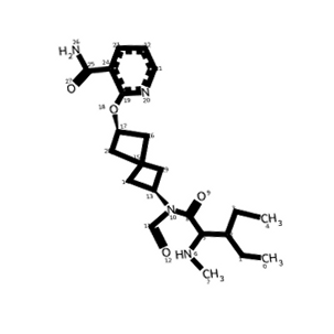 CCC(CC)C(NC)C(=O)N(C=O)[C@H]1CC2(C[C@H](Oc3ncccc3C(N)=O)C2)C1